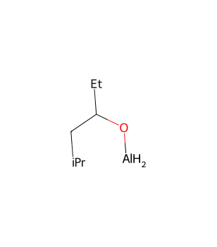 CCC(CC(C)C)[O][AlH2]